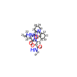 CCNC(=O)C(=O)C(Cc1ccccc1)NC(=O)C(CC(C)C)NC(=O)c1ccccn1